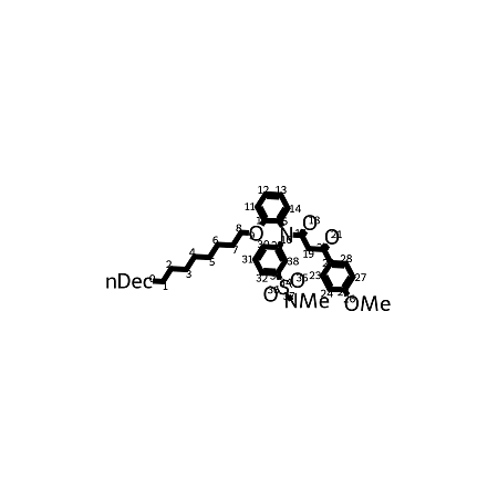 CCCCCCCCCCCCCCCCCCOc1ccccc1N(C(=O)CC(=O)c1ccc(OC)cc1)c1cccc(S(=O)(=O)NC)c1